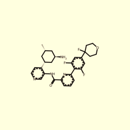 C[C@@H]1C[C@@H](N)C[C@H](c2ccncc2NC(=O)c2cccc(-c3c(F)cc(C4(F)CCOCC4)cc3F)n2)C1